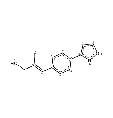 OCC(F)=Cc1ccc(-c2ccon2)cc1